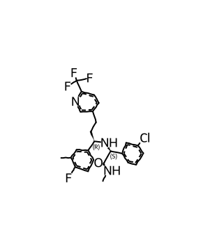 CNC(=O)[C@@H](N[C@H](CCc1ccc(C(F)(F)F)nc1)c1ccc(F)c(C)c1)c1cccc(Cl)c1